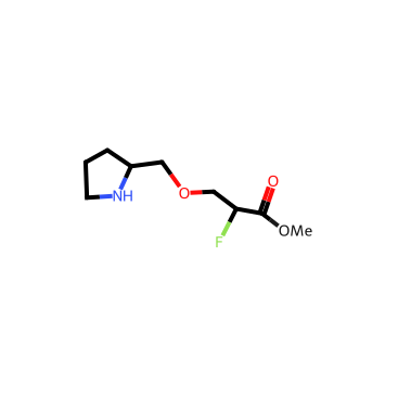 COC(=O)C(F)COCC1CCCN1